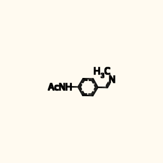 C/N=C\c1ccc(NC(C)=O)cc1